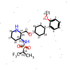 CCOc1ccccc1[C@H]1CC[C@@H](OC[C@@H]2NCCC[C@@H]2NS(=O)(=O)[C@@H](C)C(F)(F)F)CC1